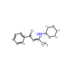 CC(=CC(=S)c1ccccc1)NC1CCCCC1